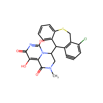 CN1CC(C2c3c#ccc(Cl)c3CSc3ccccc32)n2c(O)nc(=O)c(O)c2C1=O